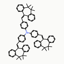 CC1(C)c2ccccc2C(=Cc2ccc(N(c3ccc(C=C4c5ccccc5C(C)(C)C(C)(C)c5ccccc54)cc3)c3ccc(C=C4c5ccccc5C(C)(C)C(C)(C)c5ccccc54)cc3)cc2)c2ccccc2C1(C)C